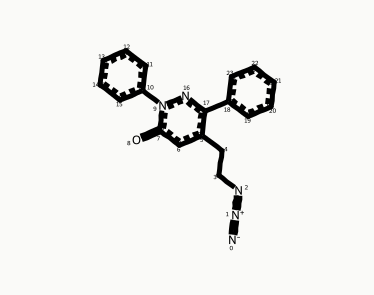 [N-]=[N+]=NCCc1cc(=O)n(-c2ccccc2)nc1-c1ccccc1